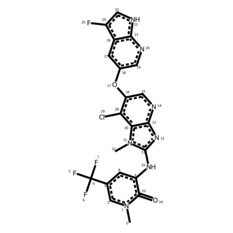 Cn1cc(C(F)(F)F)cc(Nc2nc3ncc(Oc4cnc5[nH]cc(F)c5c4)c(Cl)c3n2C)c1=O